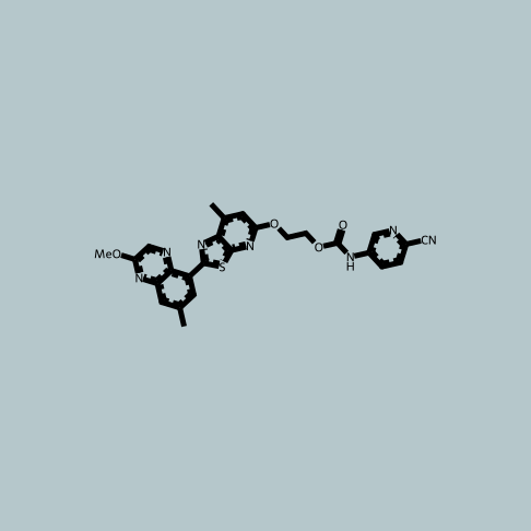 COc1cnc2c(-c3nc4c(C)cc(OCCOC(=O)Nc5ccc(C#N)nc5)nc4s3)cc(C)cc2n1